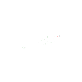 COC(=O)C(Cl)C(Cl)C(Cl)C(Cl)C(Cl)C(Cl)C(Cl)C(Cl)C(Cl)CCCCCCCCCl